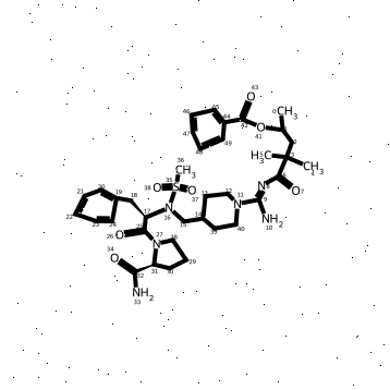 CC(CC(C)(C)C(=O)N=C(N)N1CCC(CN([C@H](Cc2ccccc2)C(=O)N2CCC[C@H]2C(N)=O)S(C)(=O)=O)CC1)OC(=O)c1ccccc1